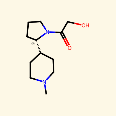 CN1CCC([C@@H]2CCCN2C(=O)CO)CC1